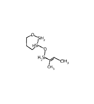 CC=C(C)[SiH2]O[SiH]1CCCO[SiH2]1